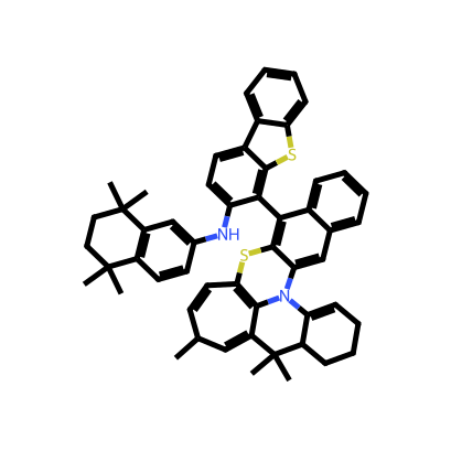 CC1C=CC2=C3C(=C1)C(C)(C)C1CCCC=C1N3c1cc3ccccc3c(-c3c(Nc4ccc5c(c4)C(C)(C)CCC5(C)C)ccc4c3sc3ccccc34)c1S2